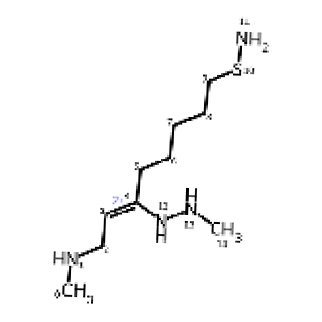 CNC/C=C(/CCCCCSN)NNC